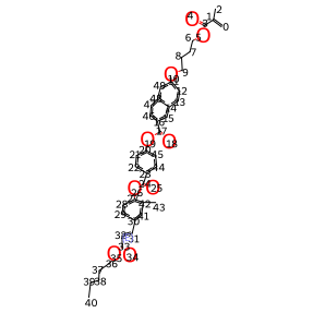 C=C(C)C(=O)OCCCCOc1ccc2cc(C(=O)Oc3ccc(C(=O)Oc4ccc(/C=C/C(=O)OCCCCC)cc4C)cc3)ccc2c1